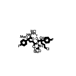 COC(CCC(Cl)N(NC(=O)OC(C)(C)C)C(=O)C(CCCCl)(OC)c1ccc(F)cc1)(C(=O)NN)c1ccc(F)cc1.Cl